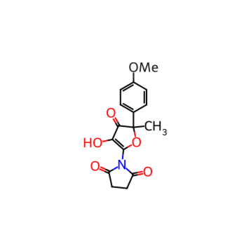 COc1ccc(C2(C)OC(N3C(=O)CCC3=O)=C(O)C2=O)cc1